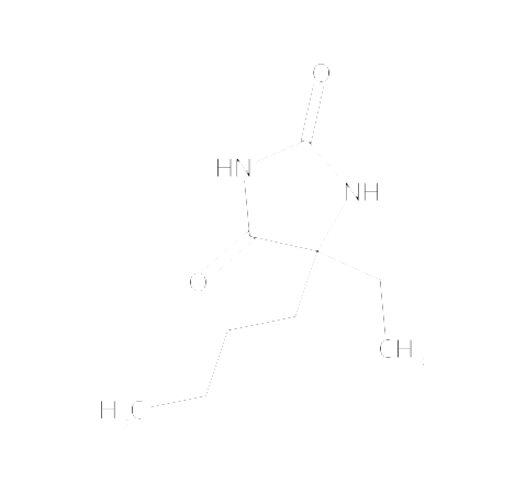 CCCCC1(CC)NC(=O)NC1=O